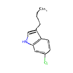 CCCc1c[nH]c2cc(Cl)ccc12